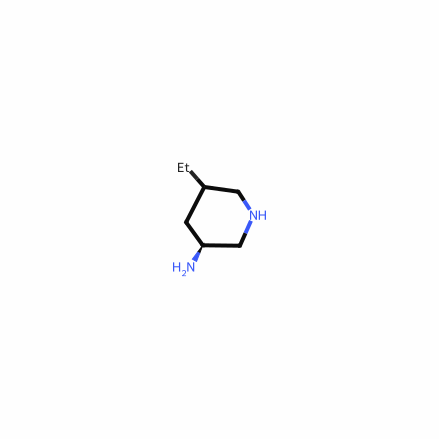 CCC1CNC[C@@H](N)C1